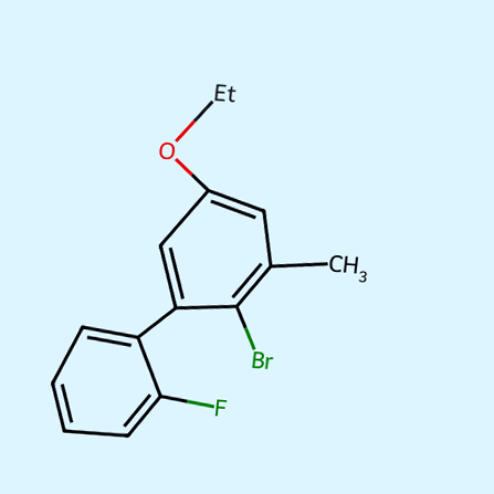 CCOc1cc(C)c(Br)c(-c2ccccc2F)c1